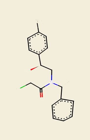 C[C@H](c1ccccc1)N(C[C@@H](O)c1ccc([N+](=O)[O-])cc1)C(=O)CCl